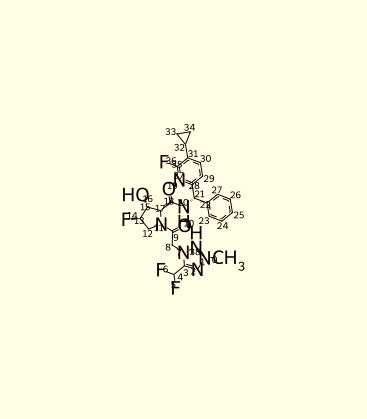 CN1N=C(C(F)F)N(CC(=O)N2C[C@@H](F)[C@H](O)[C@H]2C(=O)N[C@@H](c2ccccc2)c2ccc(C3CC3)c(F)n2)N1